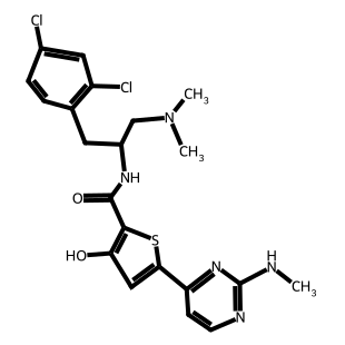 CNc1nccc(-c2cc(O)c(C(=O)NC(Cc3ccc(Cl)cc3Cl)CN(C)C)s2)n1